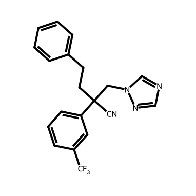 N#CC(CCc1ccccc1)(Cn1cncn1)c1cccc(C(F)(F)F)c1